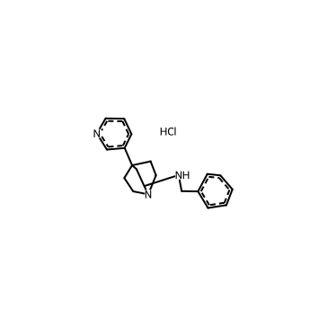 Cl.c1ccc(CNC2CC3(c4cccnc4)CCN2CC3)cc1